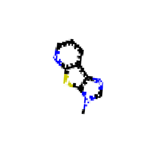 Cn1cnc2c3cccnc3sc21